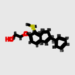 CSc1c(OCCO)ccc2cc(-c3ccccc3)ccc12